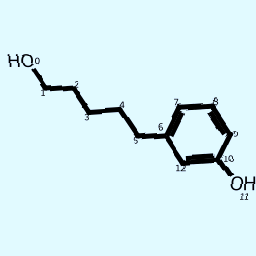 OCCCCCc1cccc(O)c1